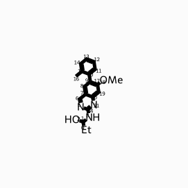 CCC(O)Nc1ncc2cc(-c3ccccc3C)c(OC)cc2n1